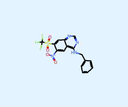 O=[N+]([O-])c1cc2c(NCc3ccccc3)ncnc2cc1S(=O)(=O)C(F)(F)F